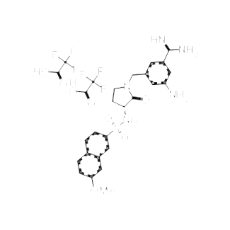 COc1ccc2ccc(S(=O)(=O)N[C@H]3CCN(Cc4cc(N)cc(C(=N)N)c4)C3=O)cc2c1.O=C(O)C(F)(F)F.O=C(O)C(F)(F)F